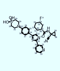 N#CC1(NC(=O)[C@@H]2C[C@@H](F)CC[C@H]2c2nc(-c3cccnc3)sc2-c2ccc(N3CCS(O)(O)CC3)cc2)CC1